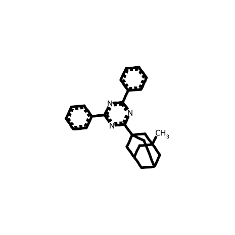 CC12CC3CC(C1)CC(c1nc(-c4ccccc4)nc(-c4ccccc4)n1)(C3)C2